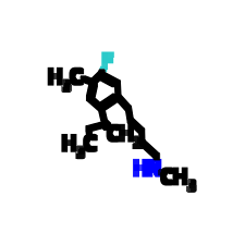 C=C(CC)c1cc(C)c(F)cc1CCCCCNC